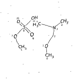 COCN(C)C.COS(=O)(=O)O